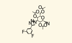 CC(=O)OC[C@H]1O[C@@H](C#N)[C@H](OC(C)=O)[C@@H](n2cc(-c3cc(F)cc(F)c3)nn2)[C@H]1OC(C)=O